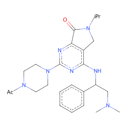 CC(=O)N1CCN(c2nc(NC(CN(C)C)c3ccccc3)c3c(n2)C(=O)N(C(C)C)C3)CC1